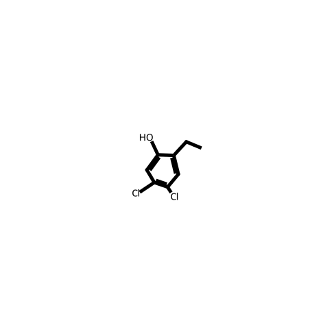 CCc1cc(Cl)c(Cl)cc1O